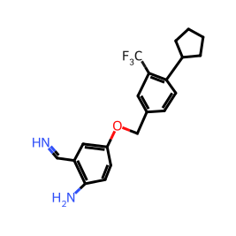 N=Cc1cc(OCc2ccc(C3CCCC3)c(C(F)(F)F)c2)ccc1N